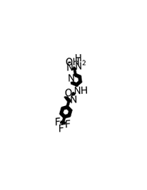 N/C(=N\O)c1ccc(Nc2nc(-c3ccc(C(F)(F)F)cc3)co2)cn1